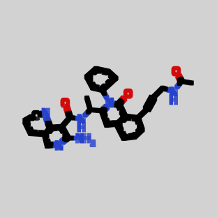 CC(=O)NCC#Cc1cccc2cc(C(C)NC(=O)c3c(N)ncc4cccnc34)n(-c3ccccc3)c(=O)c12